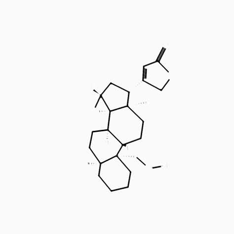 C[C@]12CC[C@H]3[C@@H](CC[C@@H]4CCCC[C@@]43COC=O)[C@]13O[C@@H]3C[C@@H]2C1=CC(=O)OC1